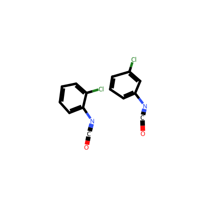 O=C=Nc1cccc(Cl)c1.O=C=Nc1ccccc1Cl